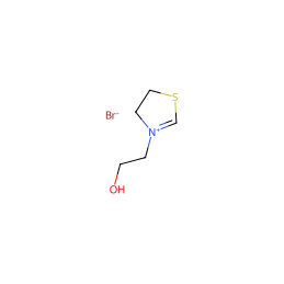 OCC[N+]1=CSCC1.[Br-]